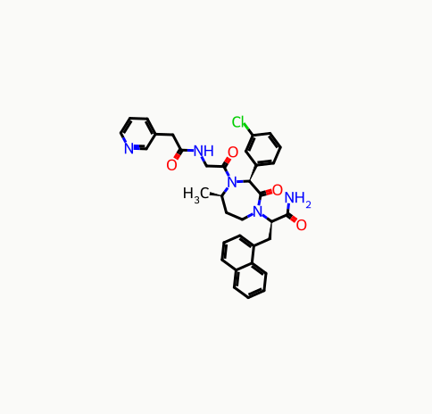 C[C@@H]1CCN([C@H](Cc2cccc3ccccc23)C(N)=O)C(=O)[C@H](c2cccc(Cl)c2)N1C(=O)CNC(=O)Cc1cccnc1